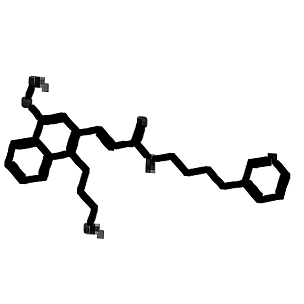 CCCCc1c(C=CC(=O)NCCCCc2cccnc2)cc(OC)c2ccccc12